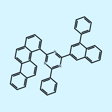 c1ccc(-c2nc(-c3cc(-c4ccccc4)c4ccccc4c3)nc(-c3cccc4ccc5c6ccccc6ccc5c34)n2)cc1